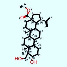 C=C(C)[C@@H]1CC[C@]2(C(=O)OCCC)CC[C@]3(C)C(CCC4[C@@]5(C)CC[C@H](O)[C@@](C)(CO)[C@@H]5CC[C@]43C)C12